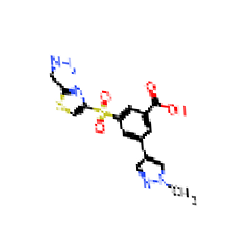 Cn1cc(-c2cc(C(=O)O)cc(S(=O)(=O)c3csc(CN)n3)c2)cn1